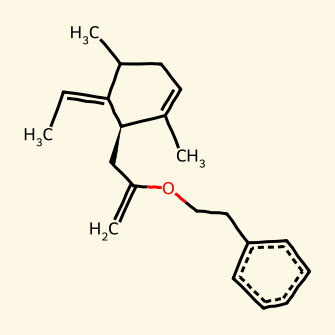 C=C(C[C@@H]1C(C)=CCC(C)/C1=C/C)OCCc1ccccc1